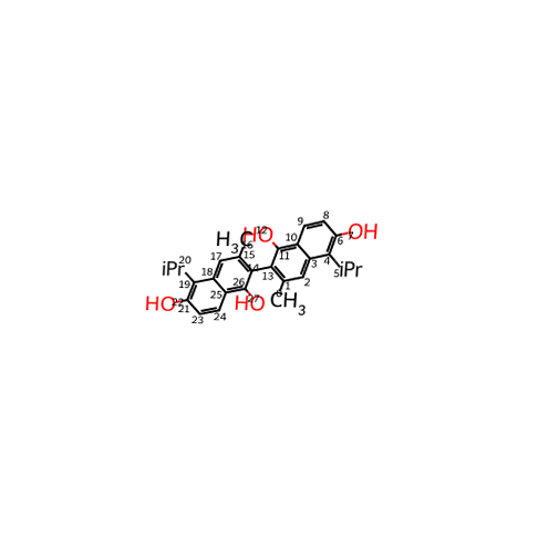 Cc1cc2c(C(C)C)c(O)ccc2c(O)c1-c1c(C)cc2c(C(C)C)c(O)ccc2c1O